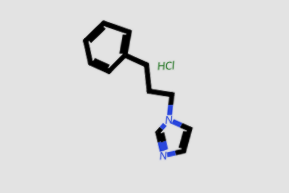 Cl.c1ccc(CCCn2ccnc2)cc1